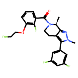 C[C@H]1c2nn(C)c(-c3cc(F)cc(F)c3)c2CCN1C(=O)c1cccc(OCCF)c1F